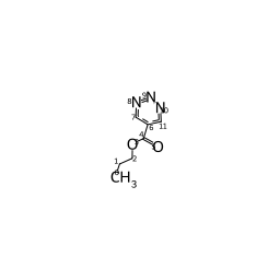 CCCOC(=O)c1cnnnc1